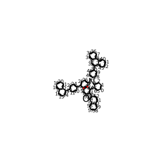 c1ccc(N(c2ccc(-c3ccc(-c4cccc5ccccc45)cc3)cc2)c2ccc(-c3cc4ccccc4c4ccccc34)cc2)c(-c2cccc3oc4c5ccccc5ccc4c23)c1